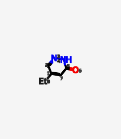 CCc1[c]n[nH]c(=O)c1